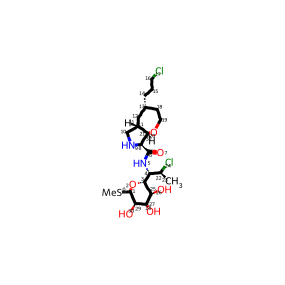 CSC1O[C@H]([C@H](NC(=O)[C@H]2NC[C@@H]3C[C@H](CCCCl)CCO[C@H]32)[C@H](C)Cl)[C@@H](O)C(O)[C@H]1O